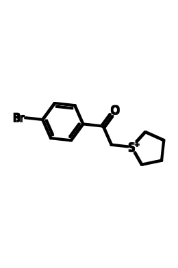 O=C(C[S+]1CCCC1)c1ccc(Br)cc1